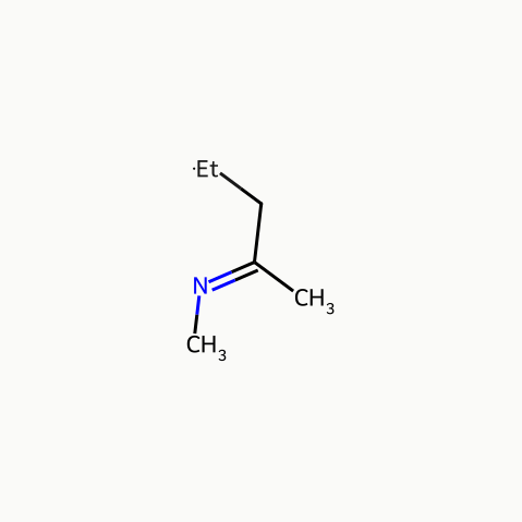 C[CH]CC(C)=NC